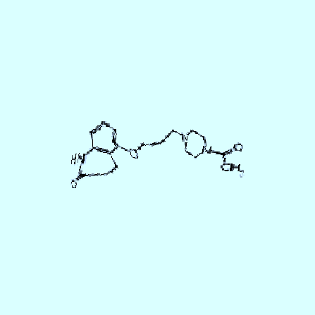 CC(=O)N1CCN(CCCOc2cccc3c2CCC(=O)N3)CC1